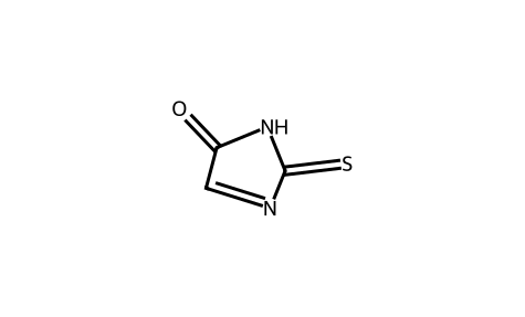 O=C1C=NC(=S)N1